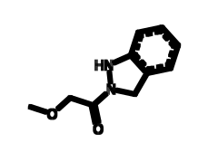 COCC(=O)N1Cc2ccccc2N1